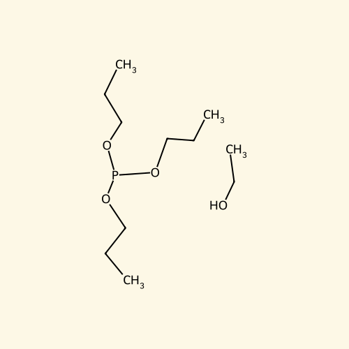 CCCOP(OCCC)OCCC.CCO